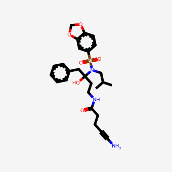 CC(C)CN(C(O)(CCNC(=O)CCC#CN)Cc1ccccc1)S(=O)(=O)c1ccc2c(c1)OCO2